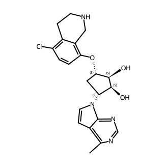 Cc1ncnc2c1ccn2[C@@H]1C[C@H](Oc2ccc(Cl)c3c2CNCC3)[C@@H](O)[C@H]1O